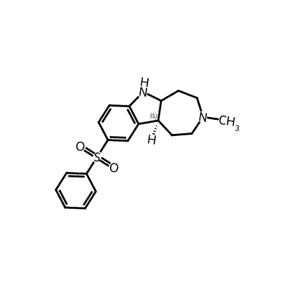 CN1CCC2Nc3ccc(S(=O)(=O)c4ccccc4)cc3[C@@H]2CC1